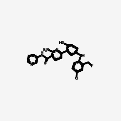 Nc1nc(-c2cc(Nc3ccc(Cl)cc3CF)ccc2O)ccc1C(=O)Nc1cccnc1